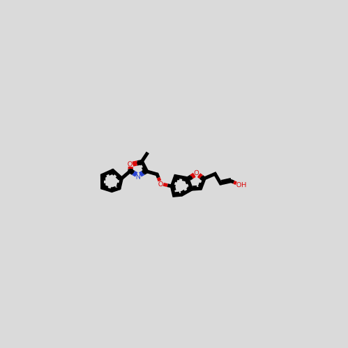 Cc1oc(-c2ccccc2)nc1COc1ccc2cc(CC=CO)oc2c1